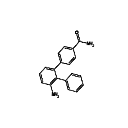 NC(=O)c1ccc(-c2cccc(N)c2-c2ccccc2)cc1